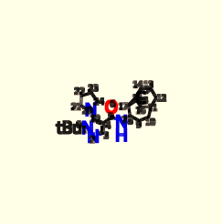 CC(C)(C)n1ncc(C(=O)NC2CCC3CC4CC(C3)C2C4)c1N1CCCC1